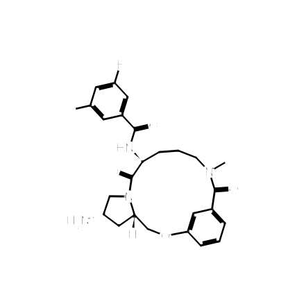 CN1CCC[C@H](NC(=O)c2cc(F)cc(F)c2)C(=O)N2C[C@@H](N)C[C@H]2COc2cccc(c2)C1=O